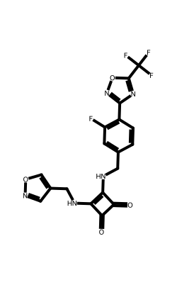 O=c1c(NCc2cnoc2)c(NCc2ccc(-c3noc(C(F)(F)F)n3)c(F)c2)c1=O